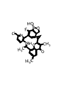 Cc1cc(C(C)Nc2ccc(Cl)nc2-c2ccc3c(c2F)B(O)OC3)c2oc(C3CC3)c(C)c(=O)c2c1